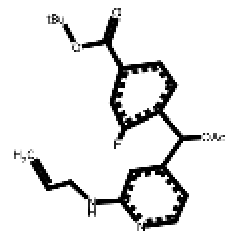 C=CCNc1cc(C(OC(C)=O)c2ccc(C(=O)OC(C)(C)C)cc2F)ccn1